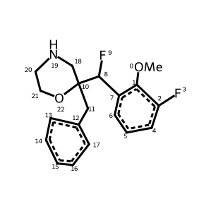 COc1c(F)cccc1C(F)C1(Cc2ccccc2)CNCCO1